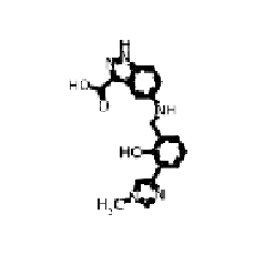 Cn1cnc(-c2cccc(CNc3ccc4[nH]nc(C(=O)O)c4c3)c2O)c1